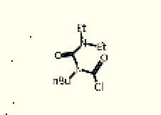 CCCCN(C(=O)Cl)C(=O)N(CC)CC